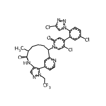 CC1CCCC(n2cc(Cl)c(-c3cc(Cl)ccc3-n3cc(Cl)nn3)cc2=O)c2cc(ccn2)-c2c(cnn2CC(F)(F)F)NC1=O